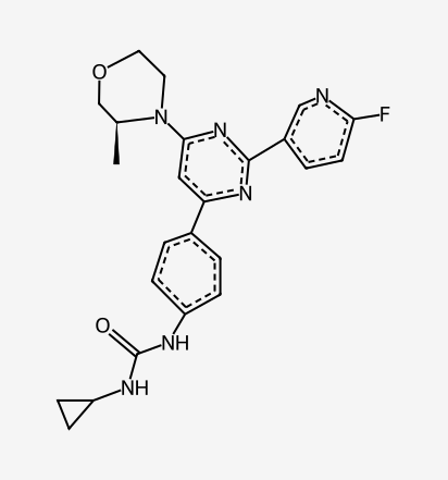 C[C@H]1COCCN1c1cc(-c2ccc(NC(=O)NC3CC3)cc2)nc(-c2ccc(F)nc2)n1